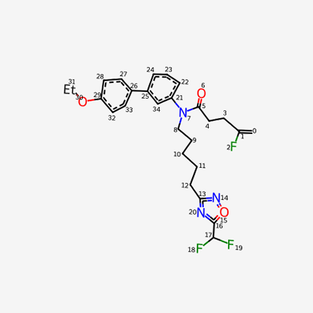 C=C(F)CCC(=O)N(CCCCCc1noc(C(F)F)n1)c1cccc(-c2ccc(OCC)cc2)c1